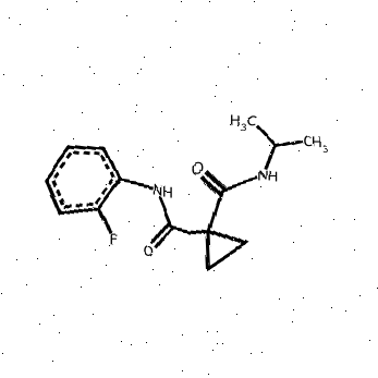 CC(C)NC(=O)C1(C(=O)Nc2ccccc2F)CC1